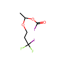 CC(OCCC(F)(F)I)OC(=O)I